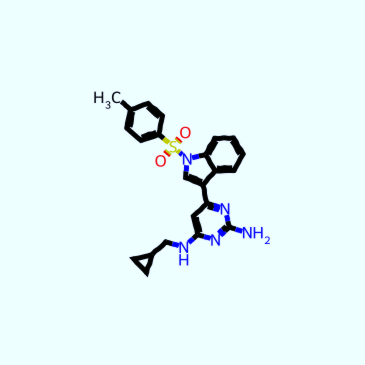 Cc1ccc(S(=O)(=O)n2cc(-c3cc(NCC4CC4)nc(N)n3)c3ccccc32)cc1